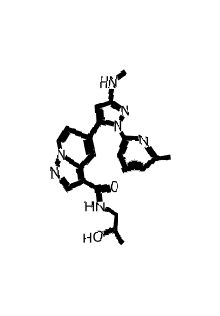 CNc1cc(-c2ccn3ncc(C(=O)NCC(C)O)c3c2)n(-c2cccc(C)n2)n1